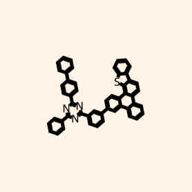 c1ccc(-c2ccc(-c3nc(-c4ccccc4)nc(-c4cccc(-c5ccc6c(c5)c5ccccc5c5ccc7c8ccccc8sc7c56)c4)n3)cc2)cc1